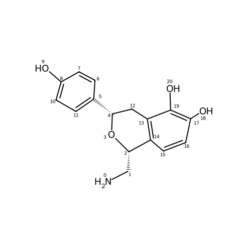 NC[C@@H]1O[C@H](c2ccc(O)cc2)Cc2c1ccc(O)c2O